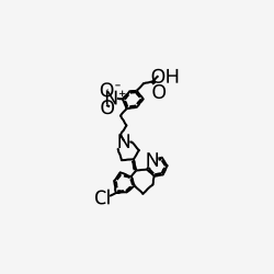 O=C(O)Cc1ccc(CCCN2CCC(=C3c4ccc(Cl)cc4CCc4cccnc43)CC2)c([N+](=O)[O-])c1